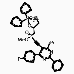 COP(=O)(C#Cc1c(-c2ccc(F)cc2)nc(-c2ccccc2)nc1C(C)C)C[C@H](CC(=O)O)O[Si](c1ccccc1)(c1ccccc1)C(C)(C)C